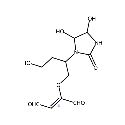 O=C/C=C(/C=O)OCC(CCO)N1C(=O)NC(O)C1O